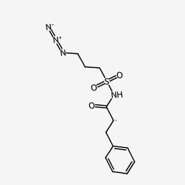 [N-]=[N+]=NCCCS(=O)(=O)NC(=O)[CH]Cc1ccccc1